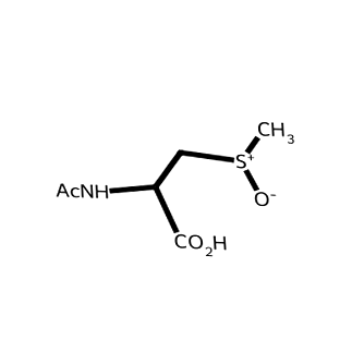 CC(=O)NC(C[S+](C)[O-])C(=O)O